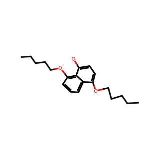 CCCCCOc1ccc([O])c2c(OCCCCC)cccc12